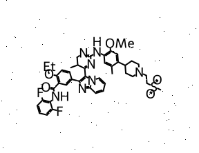 CCOc1ccc(-c2nc3ccccn3c2C2=NC(Nc3cc(C)c(C4CCN(CCS(C)(=O)=O)CC4)cc3OC)=NCC2C)cc1C(=O)Nc1c(F)cccc1F